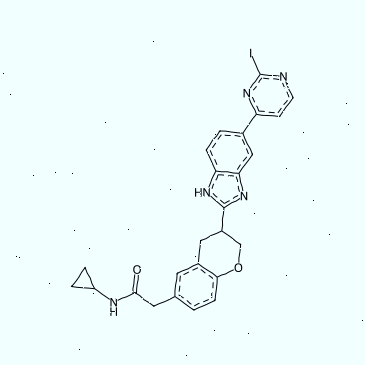 O=C(Cc1ccc2c(c1)CC(c1nc3cc(-c4ccnc(I)n4)ccc3[nH]1)CO2)NC1CC1